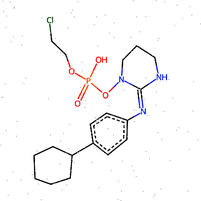 O=P(O)(OCCCl)ON1CCCNC1=Nc1ccc(C2CCCCC2)cc1